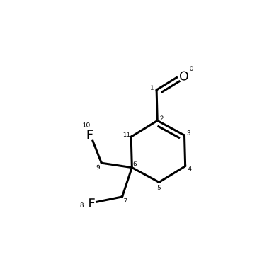 O=CC1=CCCC(CF)(CF)C1